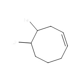 BrC1CC=CCCCC1Br